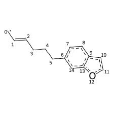 [CH2]C=CCCCc1ccc2ccoc2c1